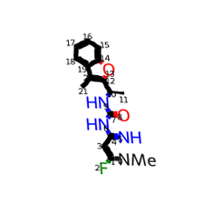 CN/C(F)=C\C(=N)NC(=O)N[C@H](C)c1oc2ccccc2c1C